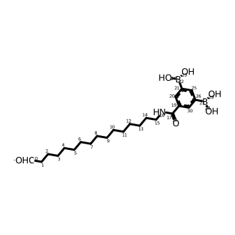 O=[C]CCCCCCCCCCCCCCCNC(=O)c1cc(B(O)O)cc(B(O)O)c1